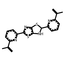 C=C(C)c1cccc(-c2nc3c(s2)NC(c2cccc(C(=C)C)n2)S3)n1